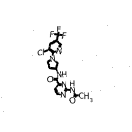 CC(=O)Nc1nccc(C(=O)NC2CCN(c3ncc(C(F)(F)F)cc3Cl)C2)n1